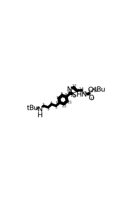 CC(C)(C)NCCCCc1ccc(-c2ncc(CNC(=O)OC(C)(C)C)s2)cc1